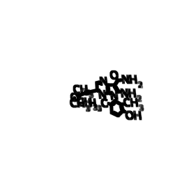 COC(C)(C)C#Cc1cnc2c(C(N)=O)c(N)n(-c3c(C)ccc(O)c3C)c2n1